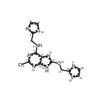 Clc1nc(NCc2nccs2)c2nc(OCc3nccs3)[nH]c2n1